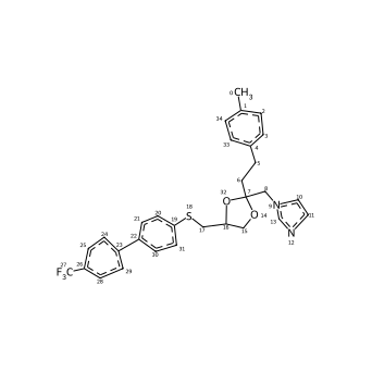 Cc1ccc(CCC2(Cn3ccnc3)OCC(CSc3ccc(-c4ccc(C(F)(F)F)cc4)cc3)O2)cc1